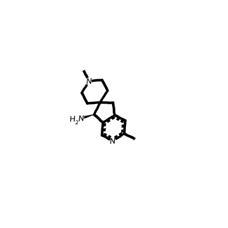 Cc1cc2c(cn1)[C@@H](N)C1(CCN(C)CC1)C2